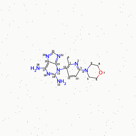 Cc1nc(N2CCOCC2)ccc1-n1c(N)nc(N)c2ncnc1-2